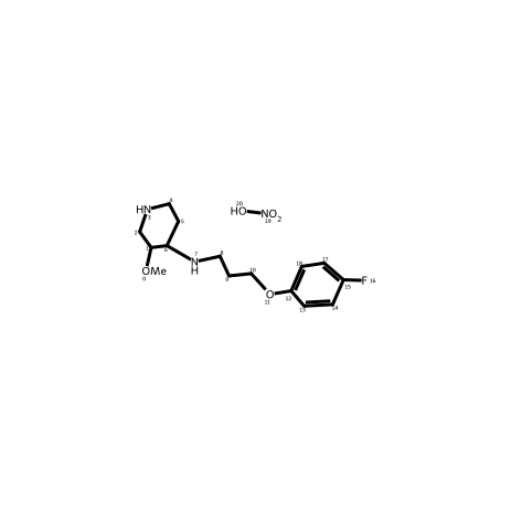 COC1CNCCC1NCCCOc1ccc(F)cc1.O=[N+]([O-])O